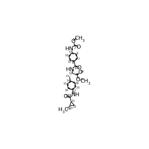 COC(=O)Nc1ccc(C(=O)N[C@@H](Cc2ccc(NC(=O)C3CC3C)cc2)C(=O)OC)cc1